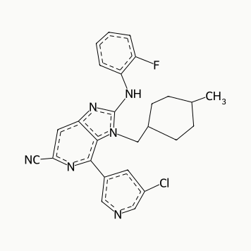 CC1CCC(Cn2c(Nc3ccccc3F)nc3cc(C#N)nc(-c4cncc(Cl)c4)c32)CC1